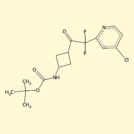 CC(C)(C)OC(=O)NC1CC(C(=O)C(F)(F)c2cc(Cl)ccn2)C1